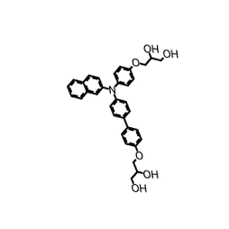 OCC(O)COc1ccc(-c2ccc(N(c3ccc(OCC(O)CO)cc3)c3ccc4ccccc4c3)cc2)cc1